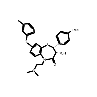 COc1ccc([C@H]2Sc3cc(Oc4cccc(C)c4)ccc3N(CCN(C)C)C(=O)[C@H]2O)cc1